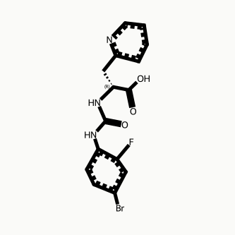 O=C(Nc1ccc(Br)cc1F)N[C@H](Cc1ccccn1)C(=O)O